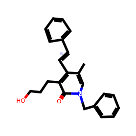 Cc1cn(Cc2ccccc2)c(=O)c(CCCO)c1/C=C/c1ccccc1